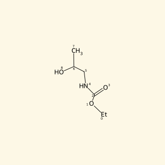 CCOC(=O)NCC(C)O